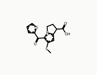 CSc1cc2n(c1C(=O)c1cccs1)CCC2C(=O)O